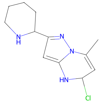 CC1=CC(Cl)Nc2cc(C3CCCCN3)nn21